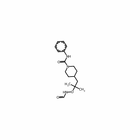 CC(C)(CC1CCN(C(=O)Nc2ccccc2)CC1)ONC=O